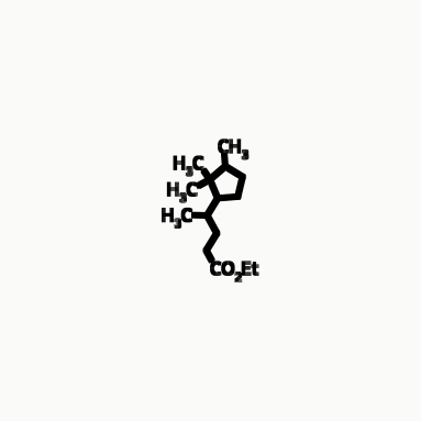 CCOC(=O)CCC(C)C1CCC(C)C1(C)C